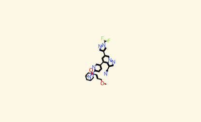 COC/C=C/C(=O)N1C2CC1CN(c1ccc(-c3cc(-c4cnn(C(F)F)c4)cn4ncc(C#N)c34)cn1)C2